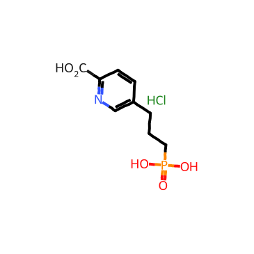 Cl.O=C(O)c1ccc(CCCP(=O)(O)O)cn1